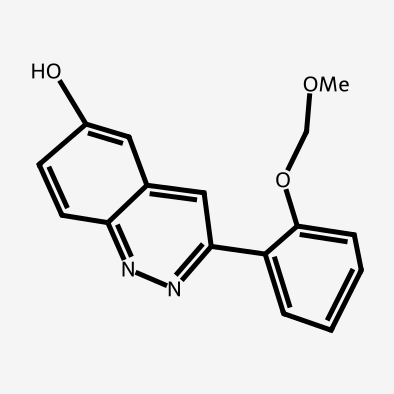 COCOc1ccccc1-c1cc2cc(O)ccc2nn1